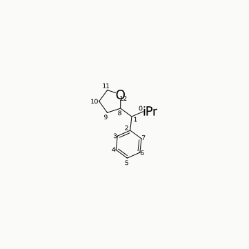 CC(C)C(c1ccccc1)C1CCCO1